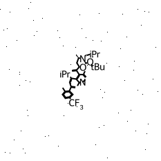 C=C(C)/C(C(=C)CC[C@@H](C)N(CC(C)C)C(=O)OC(C)(C)C)=C(C(=C\C(=C)c1cc(C(F)(F)F)ccc1C)/C(C)C)\C(C)=N/C